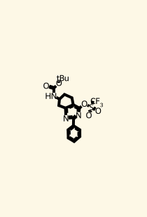 CC(C)(C)OC(=O)NC1CCc2c(nc(-c3ccccc3)nc2OS(=O)(=O)C(F)(F)F)C1